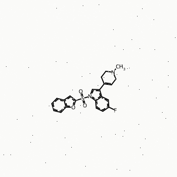 CN1CC=C(c2cn(S(=O)(=O)c3cc4ccccc4o3)c3ccc(F)cc23)CC1